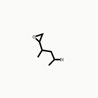 CCC(C)CC(C)C1CO1